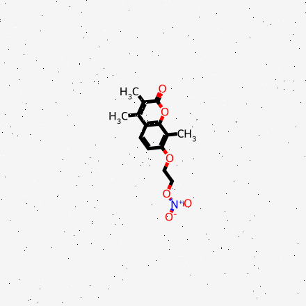 Cc1c(C)c2ccc(OCCO[N+](=O)[O-])c(C)c2oc1=O